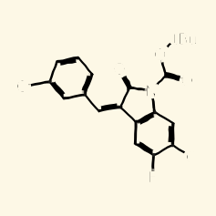 CC(C)(C)OC(=O)N1C(=O)C(=Cc2cccc(Cl)c2)c2cc(F)c(Cl)cc21